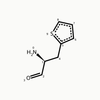 N[C@H](C=O)Cc1cccs1